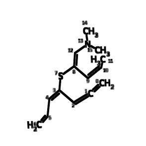 C=C=C/C(=C\C=C)SC(/C=C\C)=C/N(C)C